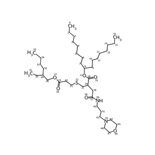 CCCCCCCCC(CCCCCCCC)OC(=O)C(CSCCC(=O)OCC(CC)CCCC)CC(=O)NCCCN1CCOCC1